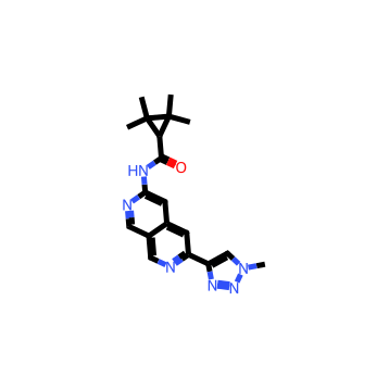 Cn1cc(-c2cc3cc(NC(=O)C4C(C)(C)C4(C)C)ncc3cn2)nn1